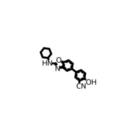 N#Cc1cc(-c2ccc3oc(NC4CCCCC4)nc3c2)ccc1O